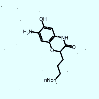 CCCCCCCCCCCCC1Oc2cc(N)c(O)cc2NC1=O